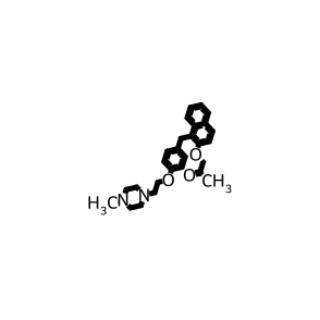 CC(=O)COc1ccc2ccccc2c1Cc1ccc(OCCN2CCN(C)CC2)cc1